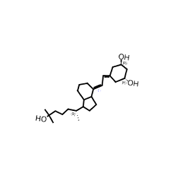 C[C@H](CCCC(C)(C)O)C1CCC2/C(=C/C=C3C[C@@H](O)C[C@H](O)C3)CCCC21